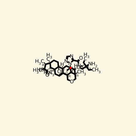 CCC(N)(CC)CO[C@H]1[C@H](n2ncnc2C(=O)NC)C[C@@]23COC[C@]1(C)[C@@H]2CC[C@H]1C3=CC[C@@]2(C)[C@H](C(=O)O)[C@@](C)([C@H](C)C(C)C)CC[C@]12C